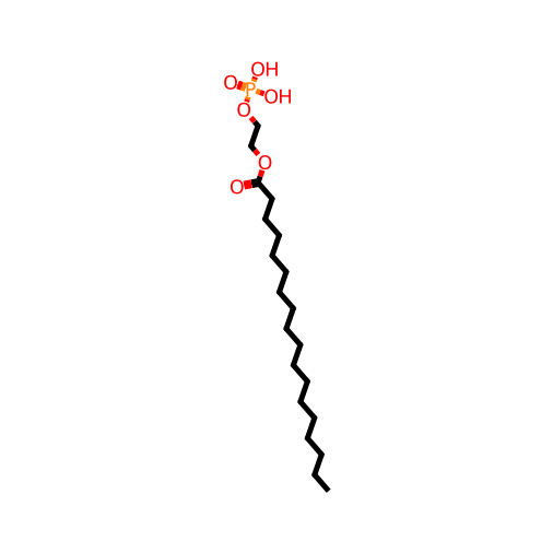 CCCCCCCCCCCCCCCCCC(=O)OCCOP(=O)(O)O